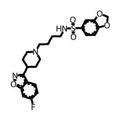 O=S(=O)(NCCCCN1CCC(c2noc3cc(F)ccc23)CC1)c1ccc2c(c1)OCO2